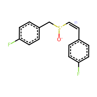 [O-][S+](/C=C\c1ccc(F)cc1)Cc1ccc(F)cc1